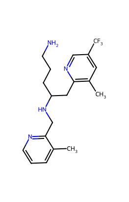 Cc1cccnc1CNC(CCCN)Cc1ncc(C(F)(F)F)cc1C